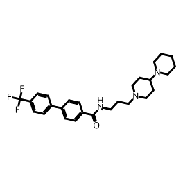 O=C(NCCCN1CCC(N2CCCCC2)CC1)c1ccc(-c2ccc(C(F)(F)F)cc2)cc1